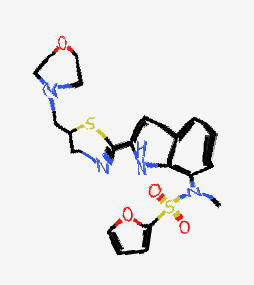 CN(c1cccc2cc(C3=NCC(CN4CCOCC4)S3)[nH]c12)S(=O)(=O)c1ccco1